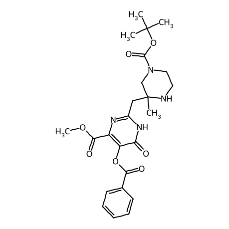 COC(=O)c1nc(CC2(C)CN(C(=O)OC(C)(C)C)CCN2)[nH]c(=O)c1OC(=O)c1ccccc1